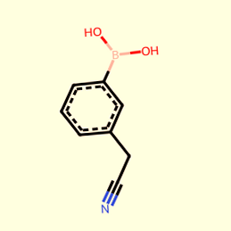 N#CCc1cccc(B(O)O)c1